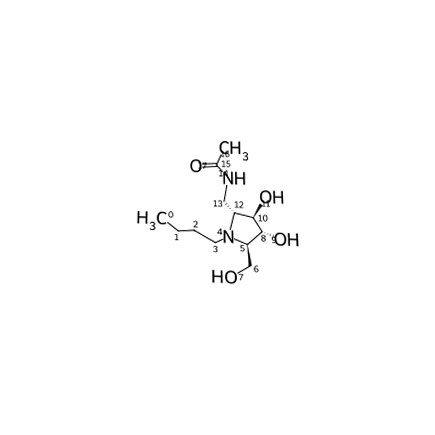 CCCCN1[C@H](CO)[C@@H](O)[C@H](O)[C@H]1CNC(C)=O